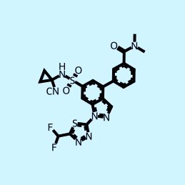 CN(C)C(=O)c1cccc(-c2cc(S(=O)(=O)NC3(C#N)CC3)cc3c2cnn3-c2nnc(C(F)F)s2)c1